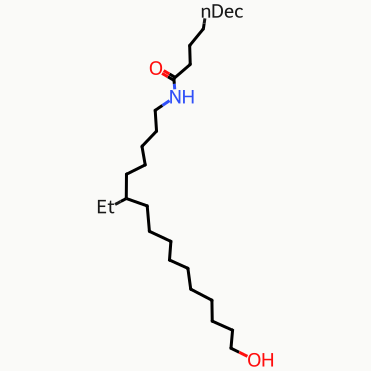 CCCCCCCCCCCCCC(=O)NCCCCCC(CC)CCCCCCCCCCO